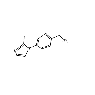 Cc1nccn1-c1ccc(CN)cc1